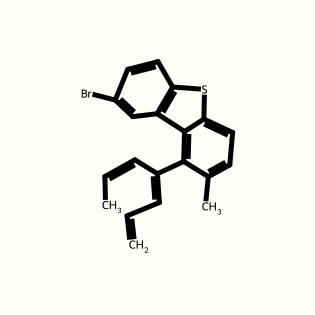 C=C/C=C(\C=C/C)c1c(C)ccc2sc3ccc(Br)cc3c12